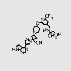 C[C@@H](CO)NCc1cc(OC2CCN(C3CC(CC#N)(n4cc(-c5ncnc6[nH]ccc56)cn4)C3)CC2)nc(C(F)(F)F)c1